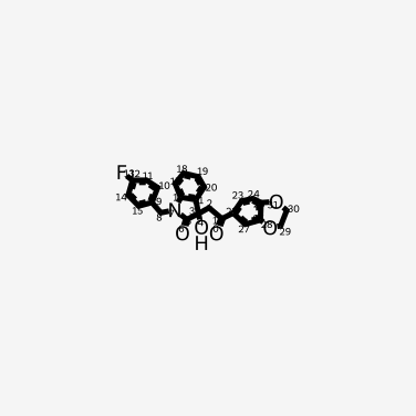 O=C(CC1(O)C(=O)N(Cc2ccc(F)cc2)c2ccccc21)c1ccc2c(c1)OCCO2